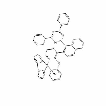 C[C@]12CC=CC=C1Oc1c(-c3ccc4ccccc4c3-c3nc(-c4ccccc4)nc(C4C=CC=CC4)n3)cccc1C21c2ccccc2-c2ccccc21